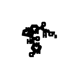 O=C(NCC(F)(F)F)c1ccc2c(n1)N(C(=O)Nc1cc(Cl)ncn1)C1CCN2C1